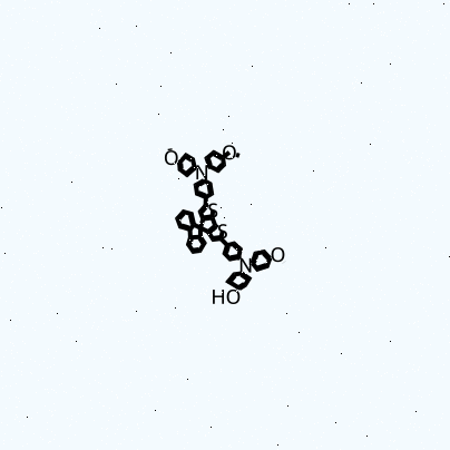 COc1ccc(N(c2ccc(O)cc2)c2ccc(-c3cc4c(s3)-c3sc(-c5ccc(N(c6ccc(OC)cc6)c6ccc(OC)cc6)cc5)cc3C43c4ccccc4-c4ccccc43)cc2)cc1